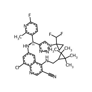 Cc1nc(F)ccc1[C@H](Nc1cc(Cl)c2ncc(C#N)c(NCC3C(C)(C)C3(C)C)c2c1)c1cn(C2(C(F)F)CC2)nn1